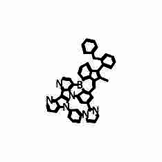 CC1=C(c2ccccc2Cc2ccccc2)c2cccc3c2C1=Cc1cc(-c2ncccn2)cc2c1B3c1ccnc3c4c5ncccc5n(-c5ccccc5)c4n-2c13